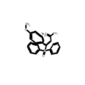 C=C(C)/C=C(\c1ccc(OC)cc1)P(=O)(c1ccccc1)c1ccccc1